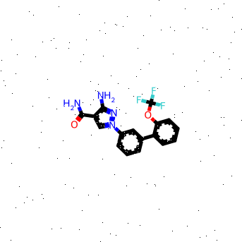 NC(=O)c1cn(-c2cccc(-c3ccccc3OC(F)(F)F)c2)nc1N